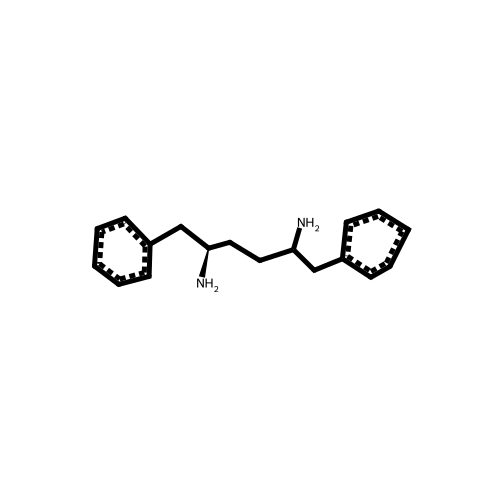 NC(CC[C@@H](N)Cc1ccccc1)Cc1ccccc1